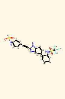 CS(=O)(=O)Nc1ccc(C#Cc2nc3cc(-c4ccccc4NS(=O)(=O)C(F)(F)F)ccc3[nH]2)cc1